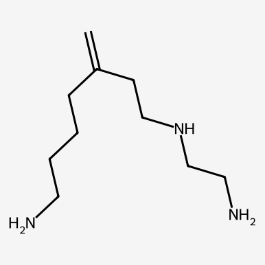 C=C(CCCCN)CCNCCN